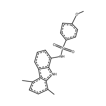 COc1ccc(S(=O)(=O)Nc2cccc3c2[nH]c2c(C)ccc(C)c23)cc1